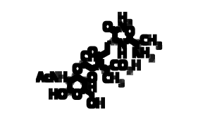 CC(=O)N[C@@H]1[C@@H](O[C@H](C)CN(C(=O)CC[C@@H](NC(=O)[C@H](C)N)C(N)=O)[C@@H](C)C(=O)O)[C@H](O)[C@@H](CO)O[C@@H]1O